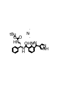 CC(C)(C)OC(=O)NC[C@H](NC(=O)c1cccc2c(-c3cn[nH]c3)n[nH]c12)c1ccccc1.[N]